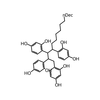 CCCCCCCCCCCCCCCCC(c1ccc(O)cc1O)C(c1ccc(O)cc1O)C(Cc1ccc(O)cc1O)c1ccc(O)cc1O